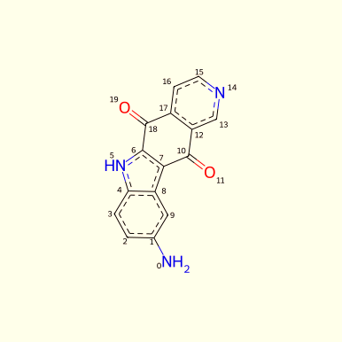 Nc1ccc2[nH]c3c(c2c1)C(=O)c1cnccc1C3=O